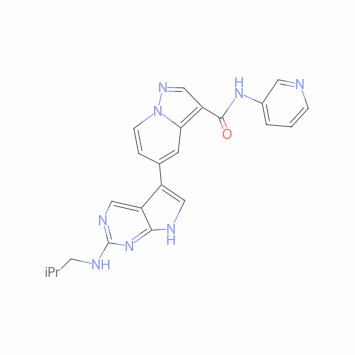 CC(C)CNc1ncc2c(-c3ccn4ncc(C(=O)Nc5cccnc5)c4c3)c[nH]c2n1